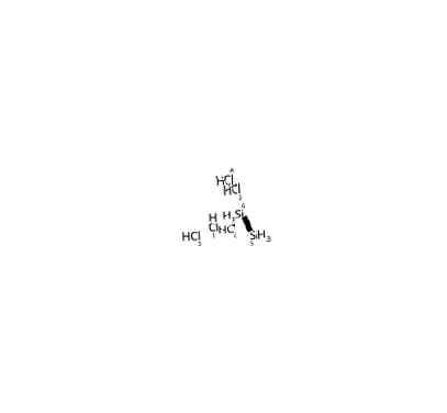 Cl.Cl.Cl.Cl.Cl.[SiH3][SiH3]